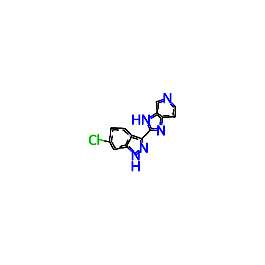 Clc1ccc2c(-c3nc4ccncc4[nH]3)n[nH]c2c1